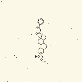 CCOC[C@@]1(O)CCC2C(CCC3C2CCC2(C)C3CC[C@@H]2C(=O)CNc2ccccc2)C1